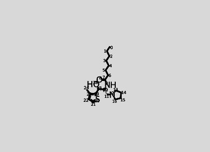 CCCCCCCC(=O)N[C@H](CN1CCCC1)[C@H](O)c1sccc1C